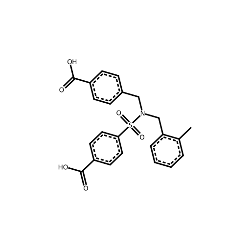 Cc1ccccc1CN(Cc1ccc(C(=O)O)cc1)S(=O)(=O)c1ccc(C(=O)O)cc1